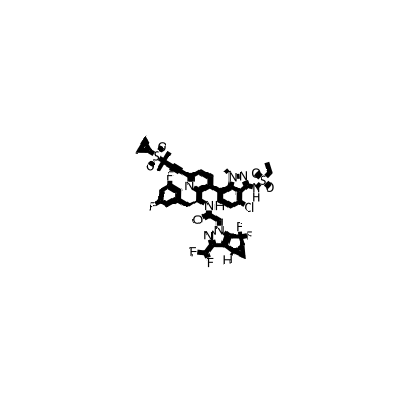 CCS(=O)(=O)Nc1nn(C)c2c(-c3ccc(C#CC(C)(C)S(=O)(=O)C4CC4)nc3[C@H](Cc3cc(F)cc(F)c3)NC(=O)Cn3nc(C(F)F)c4c3C(F)(F)C3C[C@H]43)ccc(Cl)c12